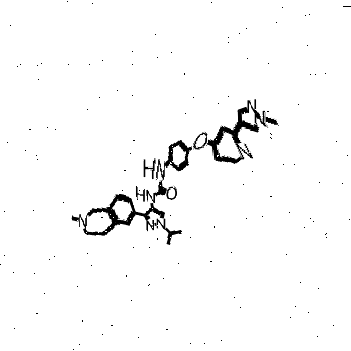 CC(C)n1cc(NC(=O)Nc2ccc(Oc3ccnc(-c4cnn(C)c4)c3)cc2)c(-c2ccc3c(c2)CCN(C)C3)n1